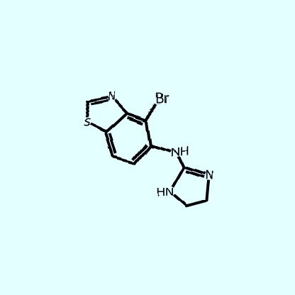 Brc1c(NC2=NCCN2)ccc2scnc12